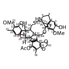 COc1cc2c(cc1O)CCN[C@]21CSCC2[C@H]3c4c(cc(C)c(OC)c4O)C[C@H]([C@H](O)N2[C@H](c2c(C)c(OC(C)=O)c(C)c4c2OCO4)COC1=O)N3C